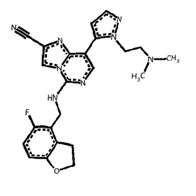 CN(C)CCn1nccc1-c1cnc(NCc2c(F)ccc3c2CCO3)n2cc(C#N)nc12